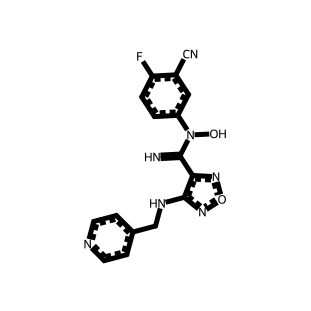 N#Cc1cc(N(O)C(=N)c2nonc2NCc2ccncc2)ccc1F